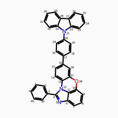 c1ccc(-c2nc3cccc4c3n2-c2ccc(-c3ccc(-n5c6ccccc6c6ccccc65)cc3)cc2O4)cc1